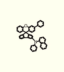 c1ccc(-c2ccc3c(c2)Oc2ccccc2C32c3ccccc3-c3cc(N(c4ccccc4)c4cccc5ccccc45)ccc32)cc1